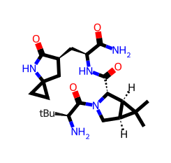 CC(C)(C)[C@H](N)C(=O)N1C[C@H]2[C@@H]([C@H]1C(=O)N[C@@H](C[C@H]1CC3(CC3)NC1=O)C(N)=O)C2(C)C